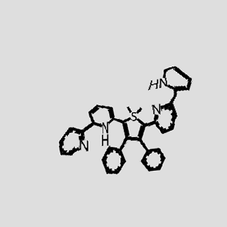 CS1(C)C(C2=CC=CC(c3ccccn3)N2)=C(c2ccccc2)C(c2ccccc2)=C1c1cccc(C2=CC=CCN2)n1